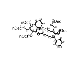 CCCCCCCCCCCCC(OCCCCCCCC)=C(OCCCCCCCC)C(OCOCOC(C(OCCCCCCCC)=C(CCCCCCCCCCCC)OCCCCCCCC)c1ccccc1)c1ccccc1